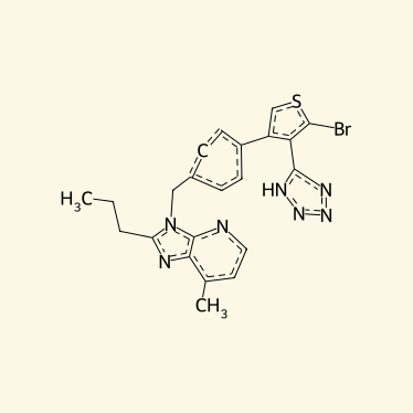 CCCc1nc2c(C)ccnc2n1Cc1ccc(-c2csc(Br)c2-c2nnn[nH]2)cc1